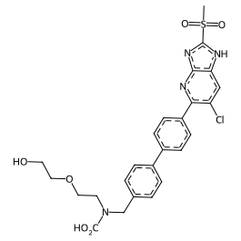 CS(=O)(=O)c1nc2nc(-c3ccc(-c4ccc(CN(CCOCCO)C(=O)O)cc4)cc3)c(Cl)cc2[nH]1